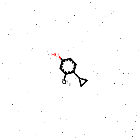 Cc1cc(O)ccc1C1CC1